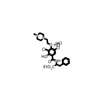 CCOC(=O)C(Cc1ccccc1)NC(=O)c1cc(Cl)c(OCCN2CCN(C)CC2)c(Cl)c1O.Cl.Cl